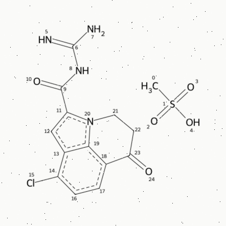 CS(=O)(=O)O.N=C(N)NC(=O)c1cc2c(Cl)ccc3c2n1CCC3=O